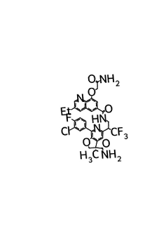 CCc1cnc2c(OCC(N)=O)cc(C(=O)NC[C@H](c3cc4c(c(-c5ccc(F)c(Cl)c5)n3)OC[C@]4(C)C(N)=O)C(F)(F)F)cc2c1